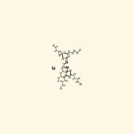 CCCCCCC(C=Nc1cc(CCCCC)cc(CCCCC)c1)=Nc1cc(CCCCC)cc(CCCCC)c1.[Ni]